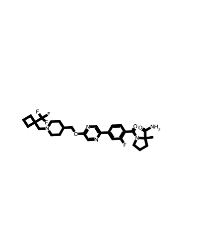 CC1(C(N)=O)CCCN1C(=O)c1ccc(-c2cnc(OCC3CCN(CC4(C(F)(F)F)CCC4)CC3)cn2)cc1F